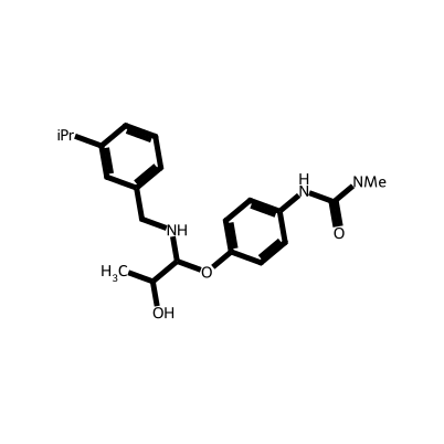 CNC(=O)Nc1ccc(OC(NCc2cccc(C(C)C)c2)C(C)O)cc1